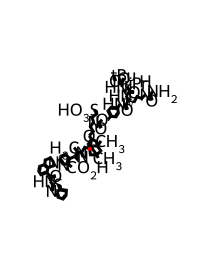 Cc1c(-c2ccc(N3CCc4cccc(C(=O)Nc5nc6ccccc6s5)c4C3)nc2C(=O)O)cnn1CC12CC3(C)CC(C)(C1)CC(OCCN(CCS(=O)(=O)O)C(=O)OCc1ccc(NC(=O)[C@H](CCCNC(N)=O)NC(=O)[C@@H](NC(=O)OC(C)(C)C)C(C)C)cc1)(C3)C2